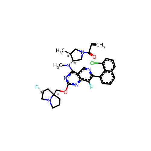 C=CC(=O)N1C[C@H](C)[C@@H](N(C)c2nc(OC[C@@]34CCCN3C[C@H](F)C4)nc3c(F)c(-c4cccc5cccc(Cl)c45)ncc23)C1